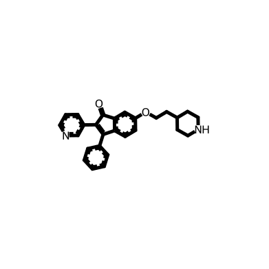 O=C1C(c2cccnc2)=C(c2ccccc2)c2ccc(OCCC3CCNCC3)cc21